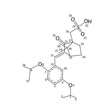 CC(C)Oc1ccc(OC(C)C)c(C=C2C(=O)C3(CS(=O)(=O)O)CCC2C3(C)C)c1